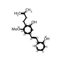 C=C(C)CCc1c(O)cc(/C=C/c2ncccc2O)cc1OC